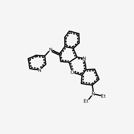 CCN(CC)c1ccc2nc3c4ccccc4/c(=N/c4cccnc4)cc-3oc2c1